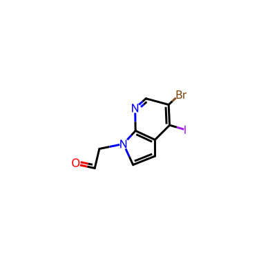 O=CCn1ccc2c(I)c(Br)cnc21